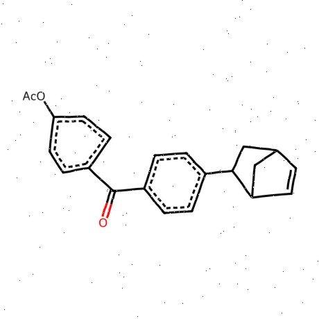 CC(=O)Oc1ccc(C(=O)c2ccc(C3CC4C=CC3C4)cc2)cc1